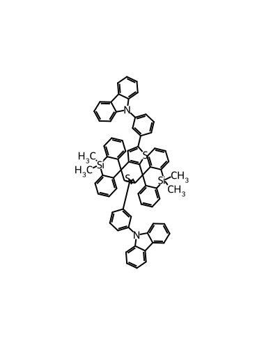 C[Si]1(C)c2ccccc2C2(c3ccccc31)c1cc(-c3cccc(-n4c5ccccc5c5ccccc54)c3)sc1C1(c3ccccc3[Si](C)(C)c3ccccc31)c1cc(-c3cccc(-n4c5ccccc5c5ccccc54)c3)sc12